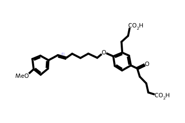 COc1ccc(/C=C/CCCCOc2ccc(C(=O)CCCC(=O)O)cc2CCC(=O)O)cc1